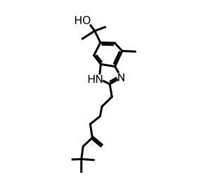 C=C(CCCCc1nc2c(C)cc(C(C)(C)O)cc2[nH]1)CC(C)(C)C